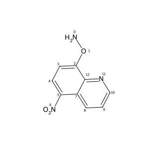 NOc1ccc([N+](=O)[O-])c2cccnc12